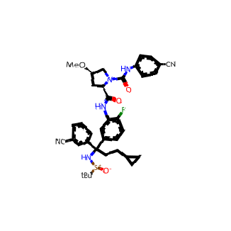 CO[C@@H]1C[C@H](C(=O)Nc2cc(C(CCC3CC3)(N[S+]([O-])C(C)(C)C)c3cccc(C#N)c3)ccc2F)N(C(=O)Nc2ccc(C#N)cc2)C1